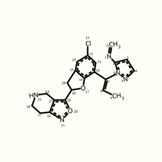 C=Nc1ccnn1/C(=C\C)c1cc(Cl)cc2c1OC(c1onc3c1CNCC3)C2